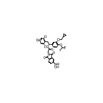 O=C(CN1C(=O)c2ccc(NO)cc2C1=O)OC(Cc1c(Cl)c[n+]([O-])cc1Cl)c1ccc(OC(F)F)c(OCC2CC2)c1